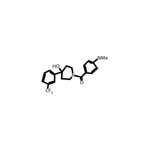 CNc1ccc(C(=O)N2CCC(O)(c3cccc(C(F)(F)F)c3)CC2)cc1